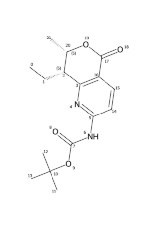 CC[C@H]1c2nc(NC(=O)OC(C)(C)C)ccc2C(=O)O[C@H]1C